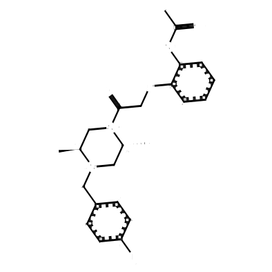 CC(=O)Nc1ccccc1OCC(=O)N1C[C@H](C)N(Cc2ccc(F)cc2)C[C@H]1C